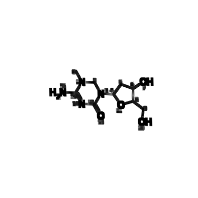 CN1CN(C2CC(O)C(CO)O2)C(=O)N=C1N